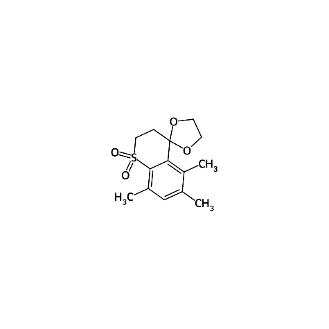 Cc1cc(C)c2c(c1C)C1(CCS2(=O)=O)OCCO1